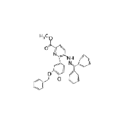 COC(=O)c1ccc(NN=C(c2ccccc2)c2ccccc2)c(-c2ccc(Cl)c(OCc3ccccc3)c2)n1